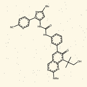 CNc1ncc2cc(-c3cccc(NC(=O)Nc4cc(C(C)(C)C)nn4-c4ccc(C#N)nc4)c3)c(=O)n(C(C)(C)CO)c2n1